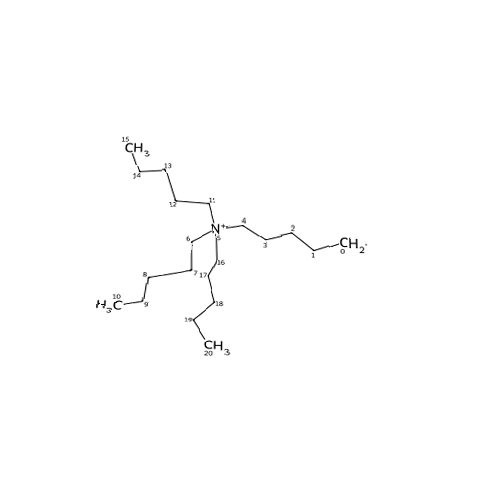 [CH2]CCCC[N+](CCCCC)(CCCCC)CCCCC